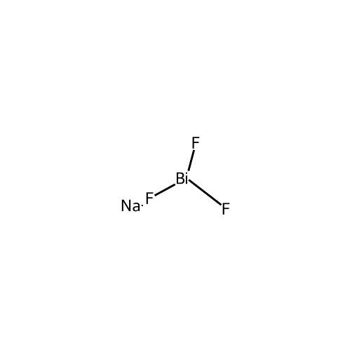 [F][Bi]([F])[F].[Na]